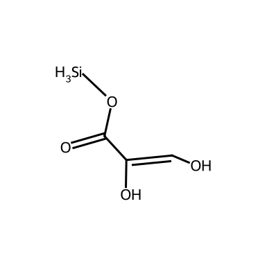 O=C(O[SiH3])C(O)=CO